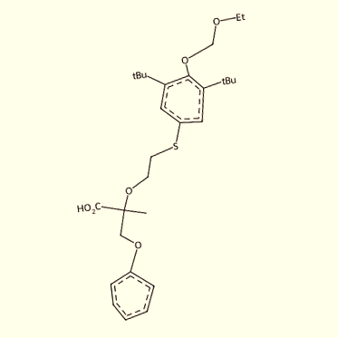 CCOCOc1c(C(C)(C)C)cc(SCCOC(C)(COc2ccccc2)C(=O)O)cc1C(C)(C)C